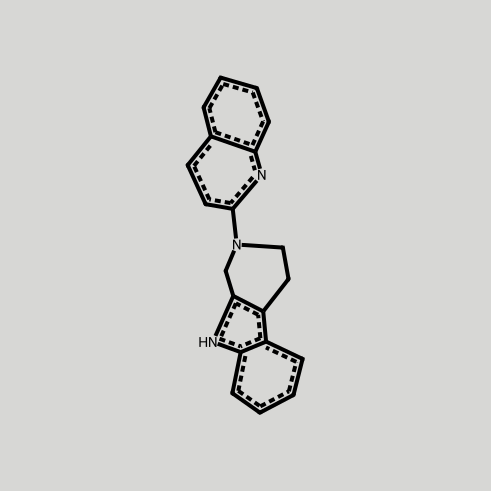 c1ccc2nc(N3CCc4c([nH]c5ccccc45)C3)ccc2c1